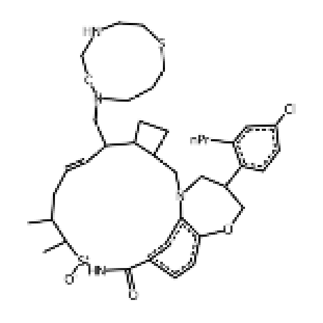 CCCc1cc(Cl)ccc1C1COc2ccc3cc2N(C1)CC1CCC1C(CN1CCCSCCNCC1)/C=C/CC(C)C(C)[S+]([O-])NC3=O